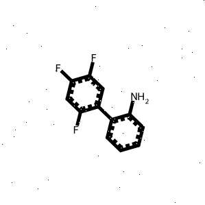 Nc1ccccc1-c1cc(F)c(F)cc1F